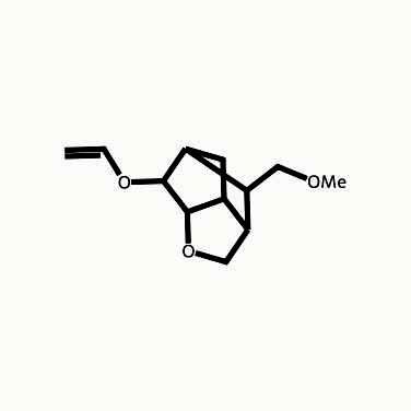 C=COC1C2CC3C(COC31)C2COC